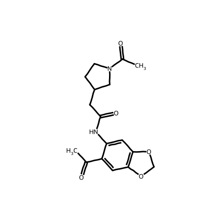 CC(=O)c1cc2c(cc1NC(=O)CC1CCN(C(C)=O)C1)OCO2